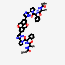 COC(=O)NC(C(=O)N[C@@H](C(=O)N1CCC[C@H]1c1ncc(-c2cc3c4c(c2)OCc2cc(-c5cnc([C@@H]6CCCN6C(=O)[C@H](NC(=O)[C@@H](NC(=O)OC)C(C)C)c6ccccc6)[nH]5)cc(c2-4)OC3)[nH]1)c1ccccc1)C(C)C